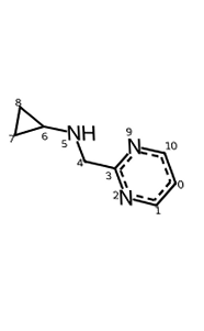 c1cnc(CNC2CC2)nc1